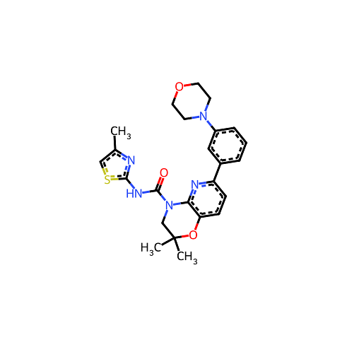 Cc1csc(NC(=O)N2CC(C)(C)Oc3ccc(-c4cccc(N5CCOCC5)c4)nc32)n1